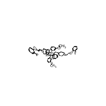 COc1cccc(C(NCC2CCN(CCOc3ccccc3F)CC2)(c2ccccn2)[C@](NCC2CCN(CCOc3ccccc3F)CC2)(c2cccc(OC)c2)c2ccccn2)c1